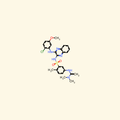 C=C(Nc1ccc(C)c(S(=O)(=O)Nc2nc3ccccc3nc2Nc2cc(OC)ccc2Cl)c1)N(C)C